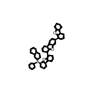 c1ccc(N(c2ccc3ccccc3c2)c2cccc3c2oc2c(-c4cccc5c4oc4cc(-c6cccc7c6oc6ccccc67)ccc45)cccc23)cc1